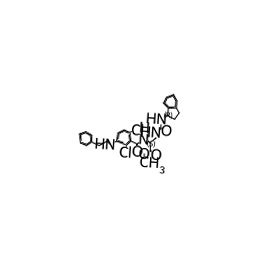 COC(=O)[C@H](CNC(=O)N[C@@H]1CCc2ccccc21)NC(=O)c1c(Cl)ccc(NCCc2ccccc2)c1Cl